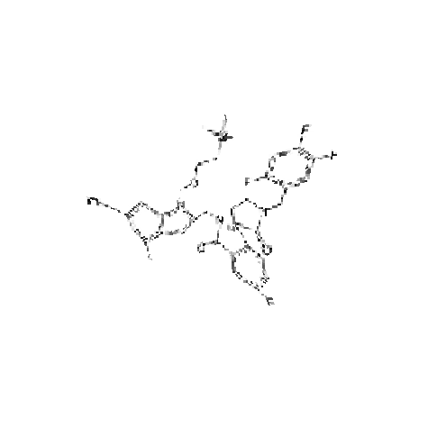 Cc1cc(Cl)cc2c1cc(CN1C(=O)c3cc(F)ccc3[C@]13CCN(Cc1cc(F)c(F)cc1F)C3=O)n2COCC[Si](C)(C)C